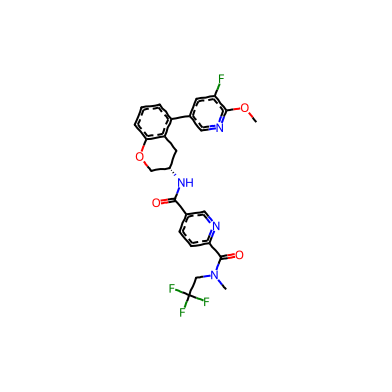 COc1ncc(-c2cccc3c2C[C@H](NC(=O)c2ccc(C(=O)N(C)CC(F)(F)F)nc2)CO3)cc1F